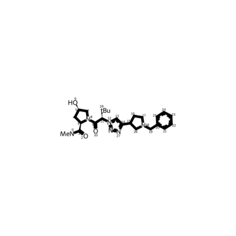 CNC(=O)[C@H]1C[C@H](O)CN1C(=O)[C@@H](n1cc(C2CCN(Cc3ccccc3)C2)nn1)C(C)(C)C